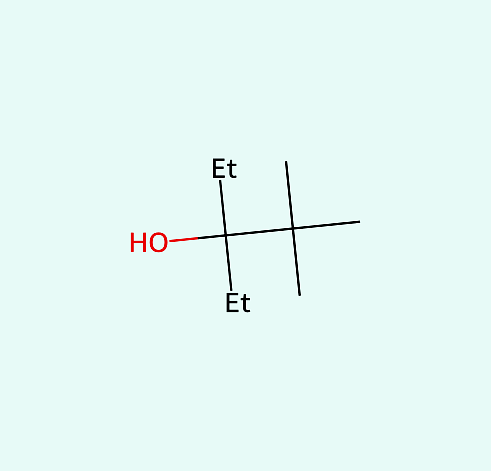 CCC(O)(CC)C(C)(C)C